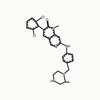 CC1CNCCN1Cc1ccc(Nc2cc3c(cn2)cc(-c2c(Cl)cccc2Cl)c(=O)n3C)cc1